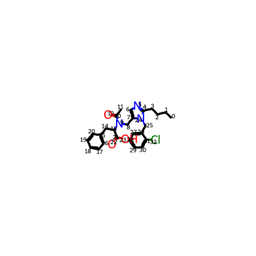 CCCCc1ncc(CN(C(C)=O)C(Cc2ccccc2)C(=O)O)n1Cc1ccccc1Cl